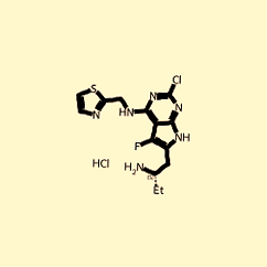 CC[C@H](N)Cc1[nH]c2nc(Cl)nc(NCc3nccs3)c2c1F.Cl